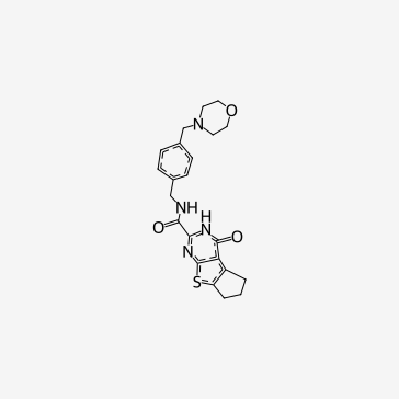 O=C(NCc1ccc(CN2CCOCC2)cc1)c1nc2sc3c(c2c(=O)[nH]1)CCC3